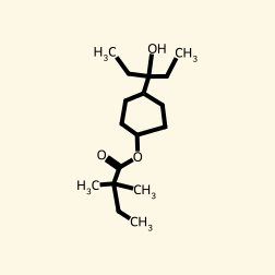 CCC(C)(C)C(=O)OC1CCC(C(O)(CC)CC)CC1